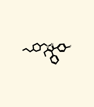 CCCC1CCC(Cn2nc(-c3ccc(F)cc3)c(-c3ccccc3)c2CC)CC1